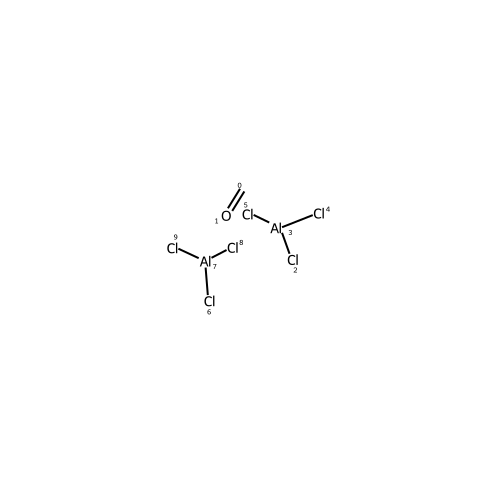 C=O.[Cl][Al]([Cl])[Cl].[Cl][Al]([Cl])[Cl]